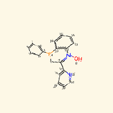 ON=C(CP(c1ccccc1)c1ccccc1)c1ccccn1